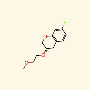 COCCO[C@H]1COc2cc(F)ccc2C1